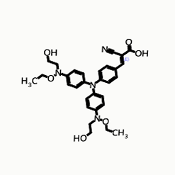 CCON(CCO)c1ccc(N(c2ccc(/C=C(\C#N)C(=O)O)cc2)c2ccc(N(CCO)OCC)cc2)cc1